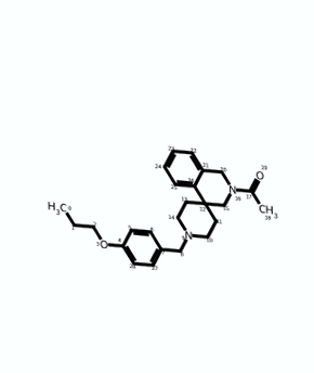 CCCOc1ccc(CN2CCC3(CC2)CN(C(C)=O)Cc2ccccc23)cc1